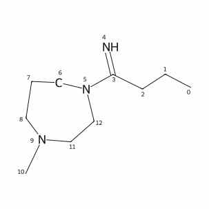 CCCC(=N)N1CCCN(C)CC1